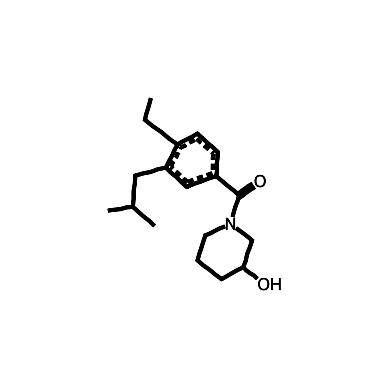 CCc1ccc(C(=O)N2CCCC(O)C2)cc1CC(C)C